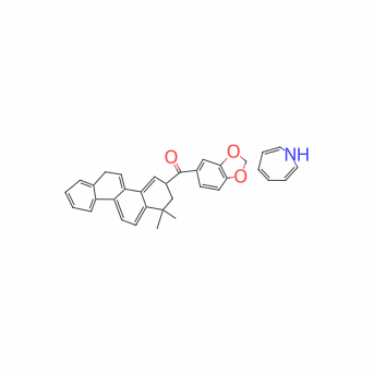 C1=CC=CNC=C1.CC1(C)CC(C(=O)c2ccc3c(c2)OCO3)C=c2c1ccc1c2=CCc2ccccc2-1